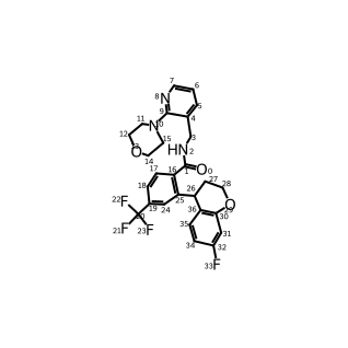 O=C(NCc1cccnc1N1CCOCC1)c1ccc(C(F)(F)F)cc1C1CCOc2cc(F)ccc21